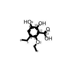 CCOc1c(CC)cc(O)c(O)c1C(=O)O